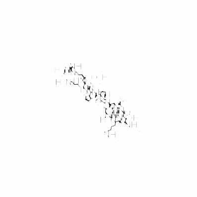 C[C@H](NC(=O)[C@@H](NC(=O)[C@@H](N)CCCCN)[C@@H](O)CN)C(=O)NCC(=O)N[C@H](CCCN)C(=O)N1CCC[C@H]1C(=O)NC(C(=O)N[C@@H](CCCCN)C(=O)N/C(=C\CCNC(=N)N)C(=O)O)c1cccs1